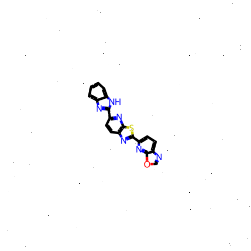 c1ccc2[nH]c(-c3ccc4nc(-c5ccc6ncoc6n5)sc4n3)nc2c1